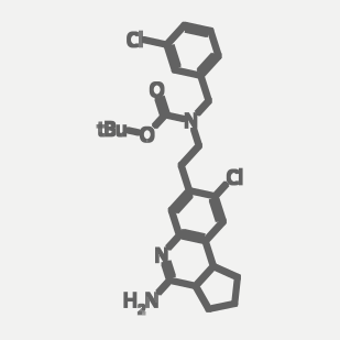 CC(C)(C)OC(=O)N(CCc1cc2c(cc1Cl)C1CCCC1C(N)=N2)Cc1cccc(Cl)c1